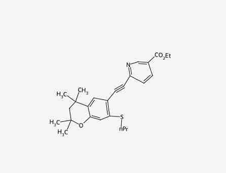 CCCSc1cc2c(cc1C#Cc1ccc(C(=O)OCC)cn1)C(C)(C)CC(C)(C)O2